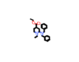 CCOC(=O)C1CCN(CC)C(N(Cc2ccccc2)Cc2ccccc2)C1